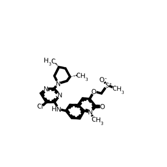 C[C@@H]1C[C@H](C)CN(c2ncc(Cl)c(Nc3ccc4c(c3)cc(OC[S+](C)[O-])c(=O)n4C)n2)C1